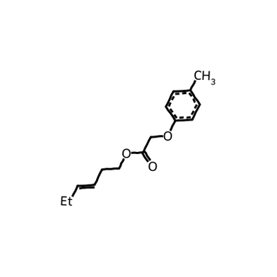 CC/C=C/CCOC(=O)COc1ccc(C)cc1